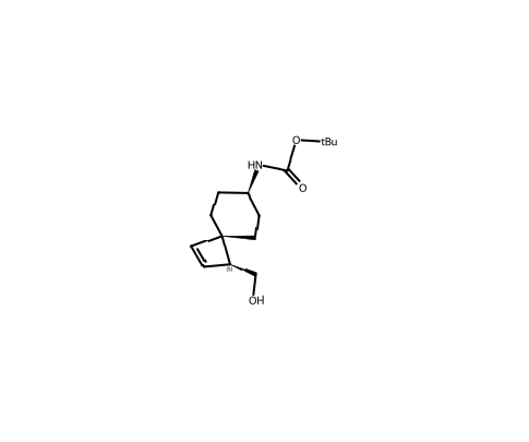 CC(C)(C)OC(=O)N[C@H]1CC[C@@]2(C=C[C@@H]2CO)CC1